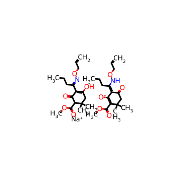 C=CCO/N=C(\CCC)C1=C(O)CC(C)(C)C(C(=O)OC)C1=O.C=CCON/C(CCC)=C1\C(=O)CC(C)(C)C(C(=O)OC)=C1[O-].[Na+]